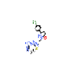 CS/C(=N\CCCN1N=C(c2ccc(Cl)cc2)CCC1=O)NC#N